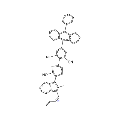 C=C/C=C\c1c(C)n(-c2ccc(-c3c(C#N)cc(-c4c5ccccc5c(-c5ccccc5)c5ccccc45)cc3C#N)cc2C#N)c2ccccc12